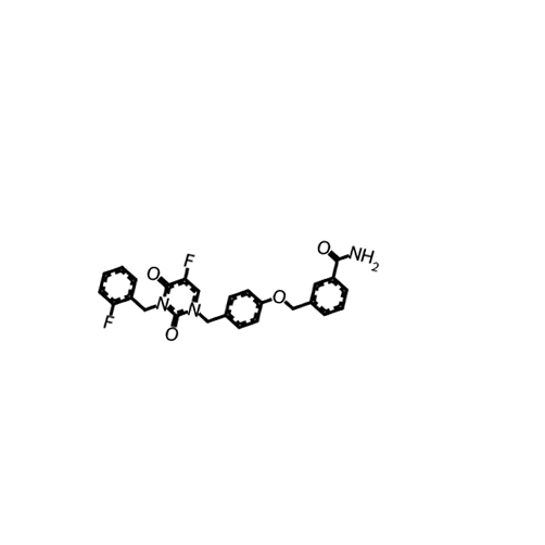 NC(=O)c1cccc(COc2ccc(Cn3cc(F)c(=O)n(Cc4ccccc4F)c3=O)cc2)c1